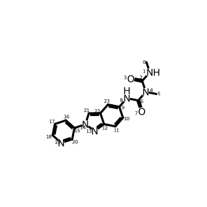 CNC(=O)N(C)C(=O)Nc1ccc2nn(-c3cccnc3)cc2c1